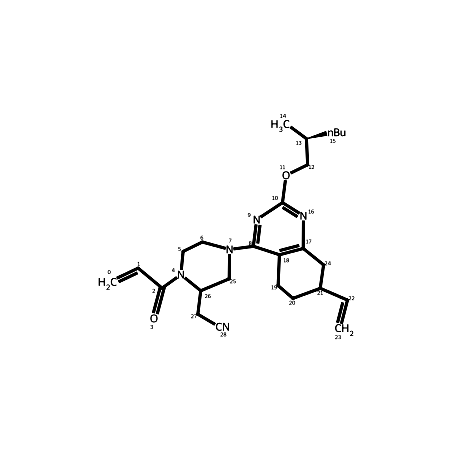 C=CC(=O)N1CCN(c2nc(OC[C@@H](C)CCCC)nc3c2CCC(C=C)C3)CC1CC#N